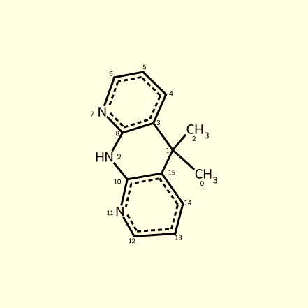 CC1(C)c2cccnc2Nc2ncccc21